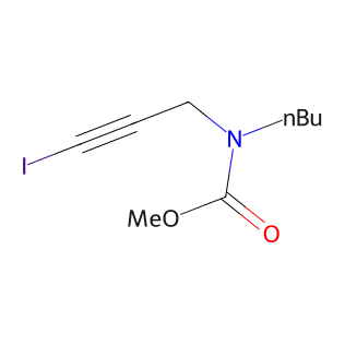 CCCCN(CC#CI)C(=O)OC